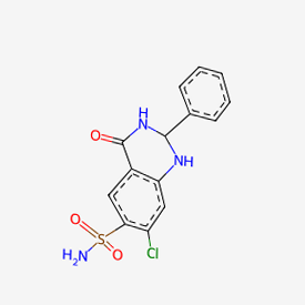 NS(=O)(=O)c1cc2c(cc1Cl)NC(c1ccccc1)NC2=O